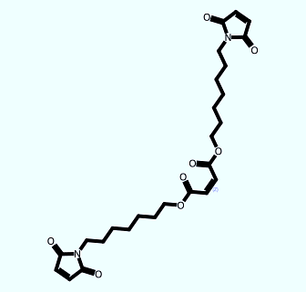 O=C(/C=C\C(=O)OCCCCCCCN1C(=O)C=CC1=O)OCCCCCCCN1C(=O)C=CC1=O